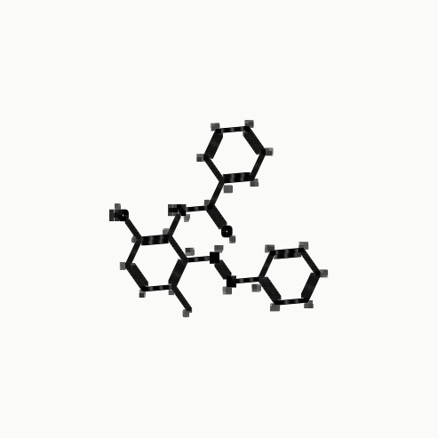 Cc1ccc(O)c(NC(=O)c2ccccc2)c1N=Nc1ccccc1